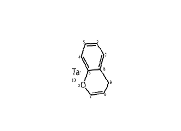 C1=COc2ccccc2C1.[Ta]